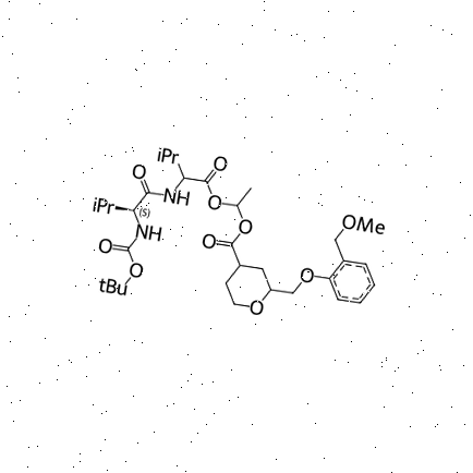 COCc1ccccc1OCC1CC(C(=O)OC(C)OC(=O)C(NC(=O)[C@@H](NC(=O)OC(C)(C)C)C(C)C)C(C)C)CCO1